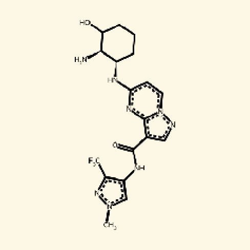 Cn1cc(NC(=O)c2cnn3ccc(N[C@@H]4CCCC(O)[C@@H]4N)nc23)c(C(F)(F)F)n1